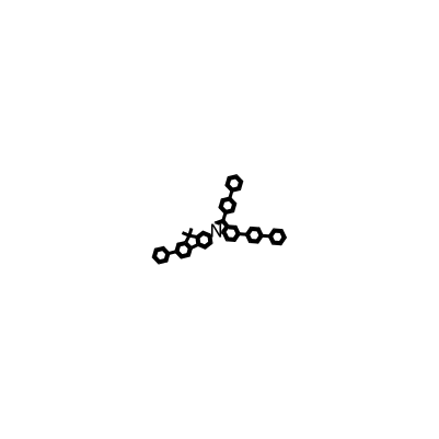 CC1(C)c2cc(-c3ccccc3)ccc2-c2ccc(-n3cc(-c4ccc(-c5ccccc5)cc4)c4cc(-c5ccc(-c6ccccc6)cc5)ccc43)cc21